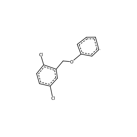 Clc1ccc(Cl)c(COc2c[c]ccc2)c1